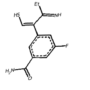 CCC(=N)/C(=C\S)c1cc(F)cc(C(N)=O)c1